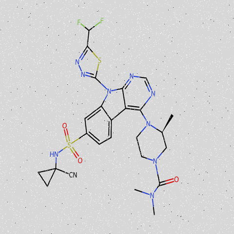 C[C@H]1CN(C(=O)N(C)C)CCN1c1ncnc2c1c1ccc(S(=O)(=O)NC3(C#N)CC3)cc1n2-c1nnc(C(F)F)s1